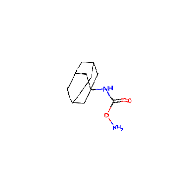 NOC(=O)NC12CC3CC(CC(C3)C1)C2